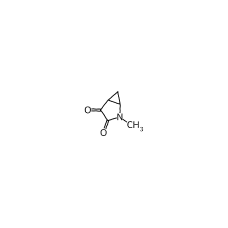 CN1C(=O)C(=O)C2CC21